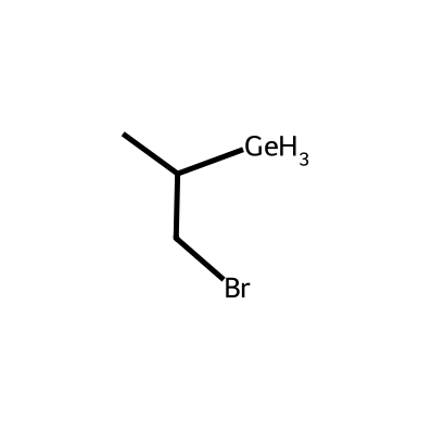 C[CH]([GeH3])CBr